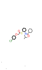 CC(C)CN(C(=O)C1CCCCC1)c1ccccc1SC(=O)COc1ccc(Cl)cc1